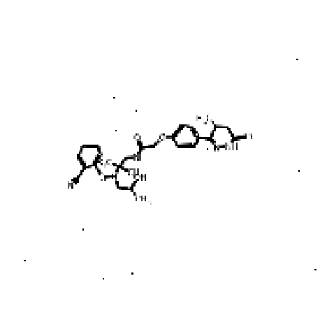 C[C@H](O)CN(Oc1ccccc1C#N)C(C)(C)CNC(=O)COc1ccc(C2=NNC(=O)C[C@@H]2C)cc1